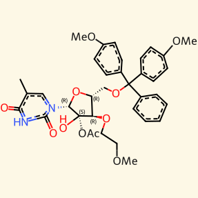 COCCO[C@@H]1[C@@H](COC(c2ccccc2)(c2ccc(OC)cc2)c2ccc(OC)cc2)O[C@@H](n2cc(C)c(=O)[nH]c2=O)[C@@]1(O)OC(C)=O